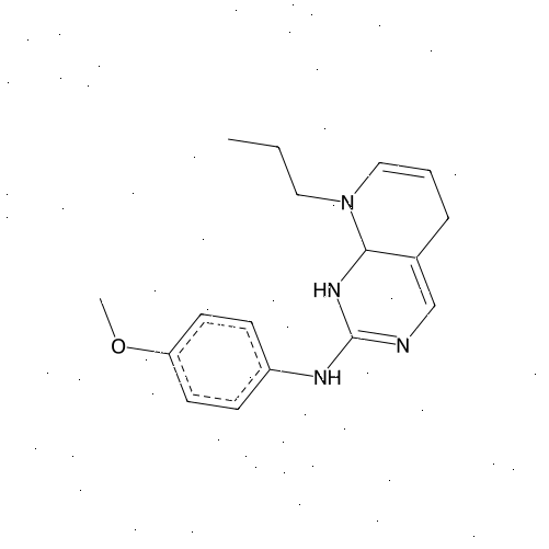 CCCN1C=CCC2=CN=C(Nc3ccc(OC)cc3)NC21